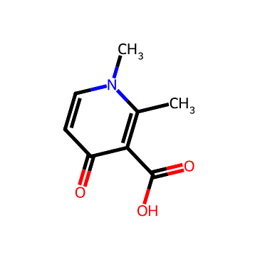 Cc1c(C(=O)O)c(=O)ccn1C